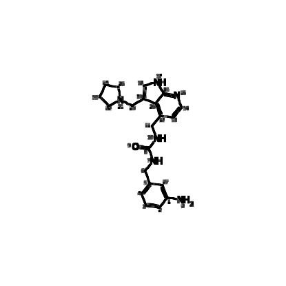 Nc1cccc(CNC(=O)NCc2ccnc3[nH]cc(CN4CCCC4)c23)c1